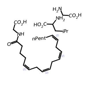 CC(C)CC(N)C(=O)O.CCCCC/C=C\C/C=C\C/C=C\C/C=C\CCCC(=O)NCC(=O)O.NCC(=O)O